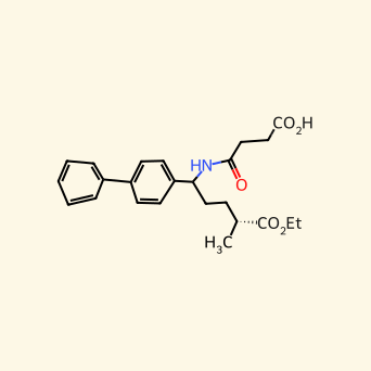 CCOC(=O)[C@H](C)CCC(NC(=O)CCC(=O)O)c1ccc(-c2ccccc2)cc1